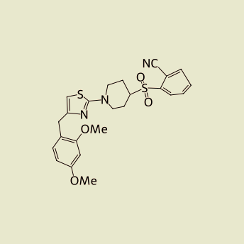 COc1ccc(Cc2csc(N3CCC(S(=O)(=O)c4ccccc4C#N)CC3)n2)c(OC)c1